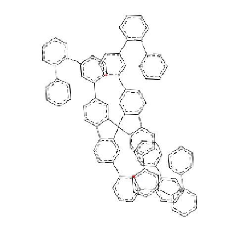 c1ccc(-c2ccccc2-c2cccc(-c3ccc4c(c3)C3(c5cc(-c6cccc(-c7ccccc7-c7ccccc7)c6)ccc5-4)c4cc(-c5cccc(-c6ccccc6-c6ccccc6)c5)ccc4-c4ccc(-c5cccc(-c6ccccc6-c6ccccc6)c5)cc43)c2)cc1